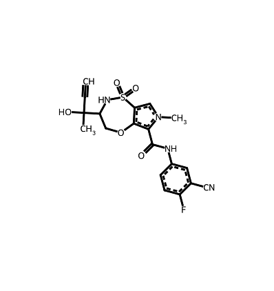 C#CC(C)(O)C1COc2c(cn(C)c2C(=O)Nc2ccc(F)c(C#N)c2)S(=O)(=O)N1